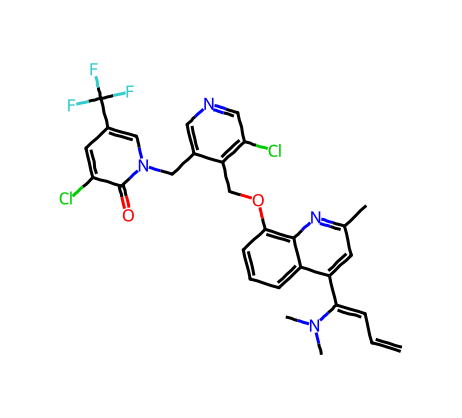 C=C/C=C(/c1cc(C)nc2c(OCc3c(Cl)cncc3Cn3cc(C(F)(F)F)cc(Cl)c3=O)cccc12)N(C)C